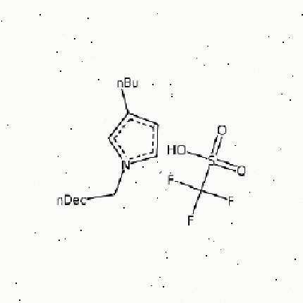 CCCCCCCCCCCn1ccc(CCCC)c1.O=S(=O)(O)C(F)(F)F